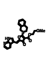 COCCOC(=O)C1=C(N2CCc3ccccc3C2)OC(=Cc2c[nH]c3ncccc23)C1=O